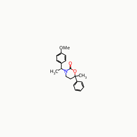 COc1ccc([C@H](C)N2CCC(C)(c3ccccc3)OC2=O)cc1